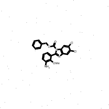 COc1c(N)cccc1-c1nc2cc(Cl)c(Cl)cc2n1C(=O)OCc1ccccc1